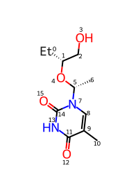 CC[C@H](CO)O[C@H](C)n1cc(C)c(=O)[nH]c1=O